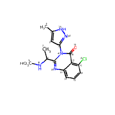 Cc1cc(-n2c(C(C)NC(=O)O)nc3cccc(Cl)c3c2=O)n[nH]1